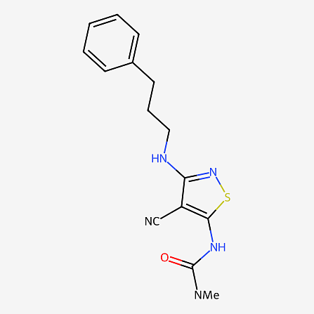 CNC(=O)Nc1snc(NCCCc2ccccc2)c1C#N